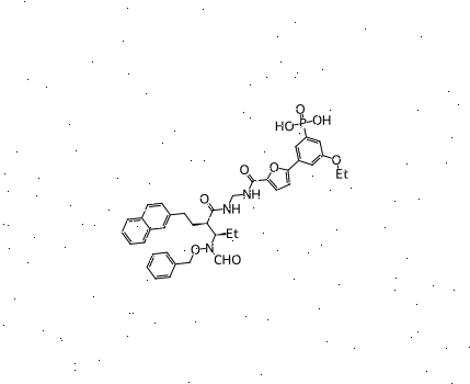 CCOc1cc(-c2ccc(C(=O)NCNC(=O)[C@H](CCc3ccc4ccccc4c3)[C@@H](CC)N(C=O)OCc3ccccc3)o2)cc(P(=O)(O)O)c1